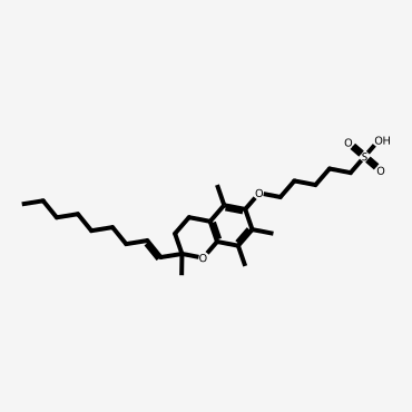 CCCCCCCC=CC1(C)CCc2c(C)c(OCCCCCS(=O)(=O)O)c(C)c(C)c2O1